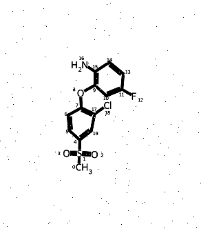 CS(=O)(=O)c1ccc(Oc2cc(F)ccc2N)c(Cl)c1